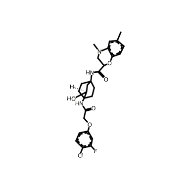 Cc1ccc2c(c1)N(C)CC(C(=O)NC13CCC(NC(=O)COc4ccc(Cl)c(F)c4)(CC1)[C@@H](O)C3)O2